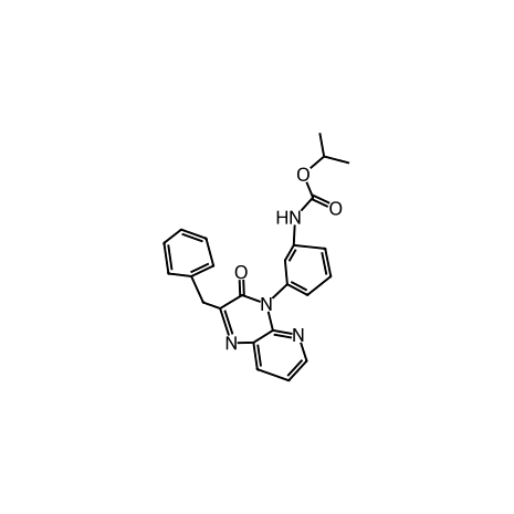 CC(C)OC(=O)Nc1cccc(-n2c(=O)c(Cc3ccccc3)nc3cccnc32)c1